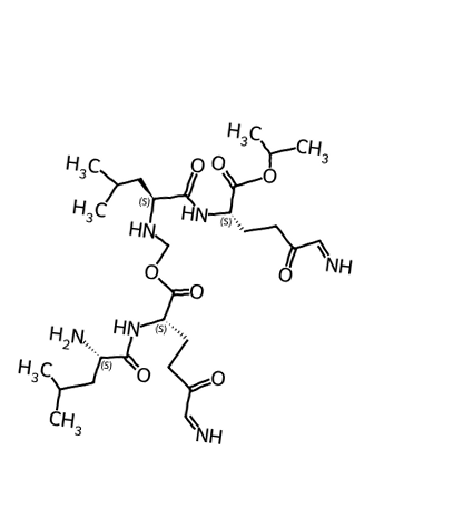 CC(C)C[C@H](NCOC(=O)[C@H](CCC(=O)C=N)NC(=O)[C@@H](N)CC(C)C)C(=O)N[C@@H](CCC(=O)C=N)C(=O)OC(C)C